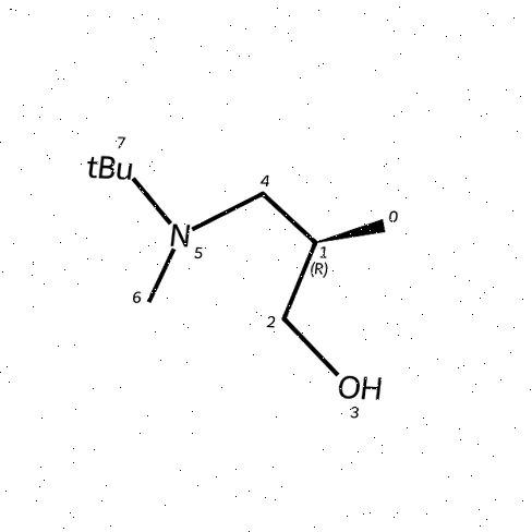 C[C@@H](CO)CN(C)C(C)(C)C